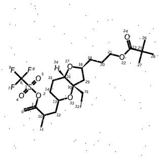 C=C(OS(=O)(=O)C(F)(F)F)C(C)CC1CC[C@@H]2O[C@@H](CCCOC(=O)C(C)(C)C)C[C@]2(CI)O1